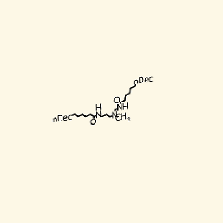 CCCCCCCCCCCCCCCC(=O)NCCCN(C)CNC(=O)CCCCCCCCCCCCCCC